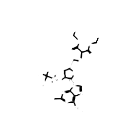 CCOC(=O)C(OC[C@@H]1CC(O[Si](C)(C)C(C)(C)C)[C@H](n2cnc3c(N)nc(Cl)nc32)O1)C(=O)OCC